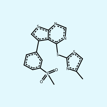 Cc1csc(Sc2ncnc3scc(-c4cccc(S(C)(=O)=O)c4)c23)n1